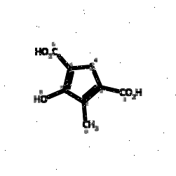 Cc1c(C(=O)O)sc(C(=O)O)c1O